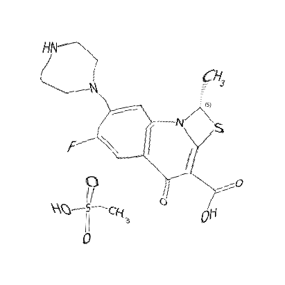 CS(=O)(=O)O.C[C@@H]1Sc2c(C(=O)O)c(=O)c3cc(F)c(N4CCNCC4)cc3n21